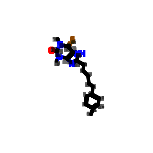 Cc1ccc(CCCCCc2nc3c([nH]2)c(=S)n(C)c(=O)n3C)cc1